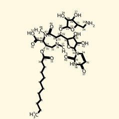 CCCCCCCCCCCC(=O)O[C@H]1CN(C)[C@@H]([C@H](OC2OC(CN)C(O)C2O)C2OC(n3ccc(=O)[nH]c3=O)C(O)C2O)C(=O)N(C)[C@@H]1C(=O)O